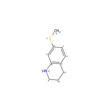 CSc1ccc2c(c1)NCCC2